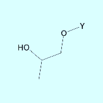 CC(O)C[O][Y]